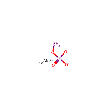 O=P([O-])([O-])OP.[Fe].[Mn+2]